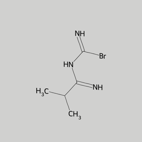 CC(C)C(=N)NC(=N)Br